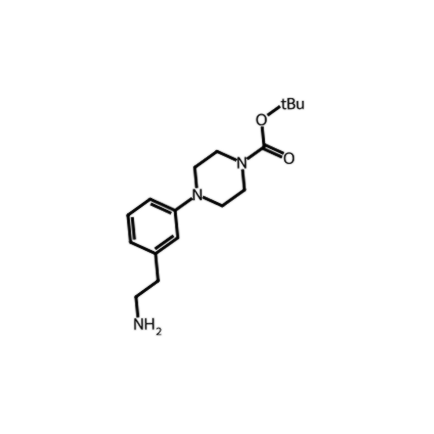 CC(C)(C)OC(=O)N1CCN(c2cccc(CCN)c2)CC1